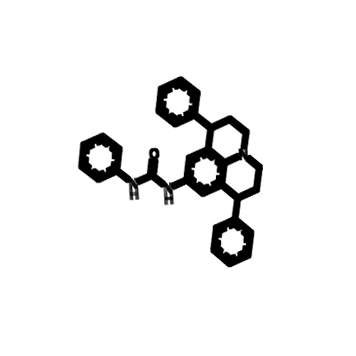 O=C(Nc1ccccc1)Nc1cc2c3c(c1)C(c1ccccc1)CCN3CCC2c1ccccc1